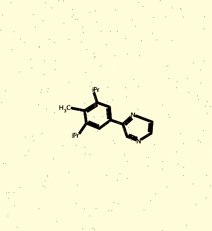 Cc1c(C(C)C)cc(-c2cnccn2)cc1C(C)C